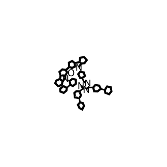 c1ccc(-c2ccc(-c3nc(-c4ccc(-n5c6ccccc6c6ccc7c8ccc9c%10ccccc%10n(-c%10ccccc%10-c%10ccccc%10)c9c8oc7c65)cc4)nc(-c4cccc(-c5ccccc5)c4)n3)cc2)cc1